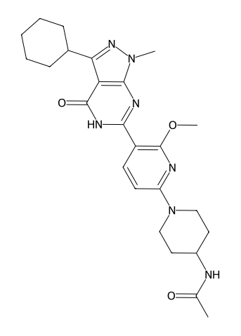 COc1nc(N2CCC(NC(C)=O)CC2)ccc1-c1nc2c(c(C3CCCCC3)nn2C)c(=O)[nH]1